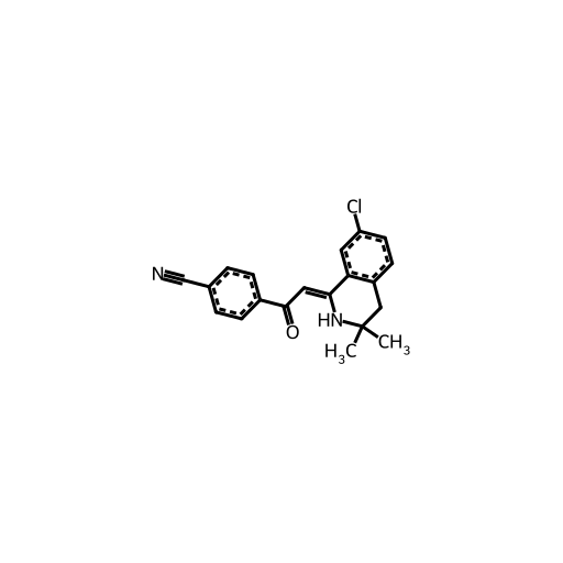 CC1(C)Cc2ccc(Cl)cc2C(=CC(=O)c2ccc(C#N)cc2)N1